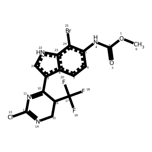 COC(=O)Nc1ccc2c(C3=NC(Cl)=NCC3C(F)(F)F)c[nH]c2c1Br